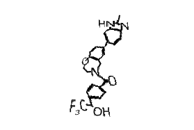 Cc1nc2ccc(-c3ccc4c(c3)CN(C(=O)c3ccc(C(O)C(F)(F)F)cc3)CCO4)cc2[nH]1